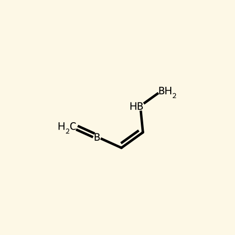 BB/C=C\B=C